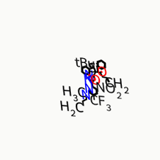 C=CCCN(C)c1nc(-c2nnc(C(C(=O)CC=C)[Si](c3ccccc3)(c3ccccc3)C(C)(C)C)o2)c([N+](=O)[O-])cc1C(F)(F)F